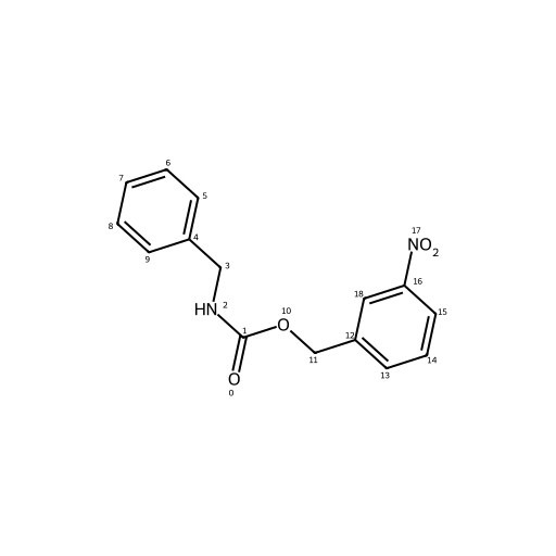 O=C(NCc1ccccc1)OCc1cccc([N+](=O)[O-])c1